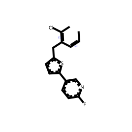 C/C=C\C(Cc1ccc(-c2ccc(F)nc2)s1)=C(/C)Cl